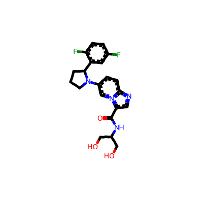 O=C(NC(CO)CO)c1cnc2ccc(N3CCCC3c3cc(F)ccc3F)cn12